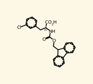 O=C(N[C@@H](Cc1cccc(Cl)c1)C(=O)O)OCC1c2ccccc2-c2ccccc21